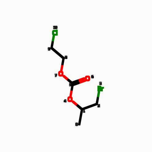 CC(CBr)OC(=O)OCCCl